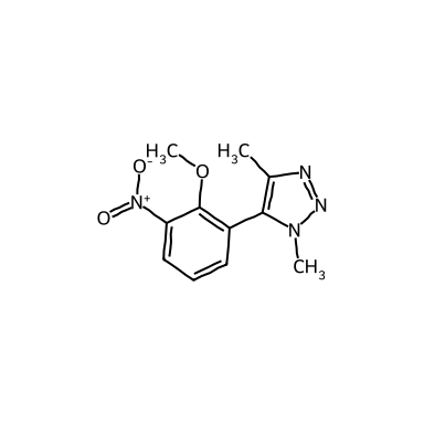 COc1c(-c2c(C)nnn2C)cccc1[N+](=O)[O-]